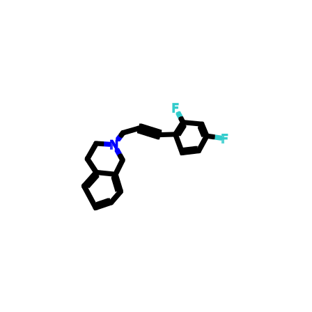 Fc1ccc(C#CCN2CCc3ccccc3C2)c(F)c1